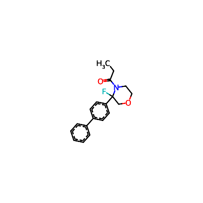 CCC(=O)N1CCOCC1(F)c1ccc(-c2ccccc2)cc1